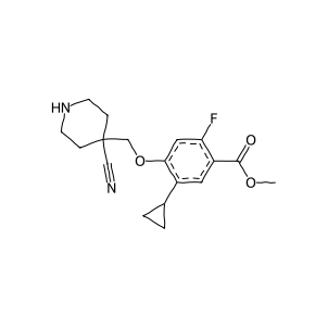 COC(=O)c1cc(C2CC2)c(OCC2(C#N)CCNCC2)cc1F